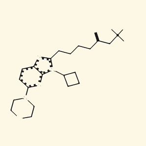 CC(C)(O)CC(=O)CCCCc1nc2ccc(N3CCOCC3)nc2n1C1CCC1